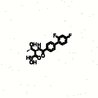 C[C@H](O)[C@H](NC(=O)c1ccc(-c2ccc(F)cc2F)cc1)C(=O)NO